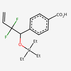 C=CC(F)(F)C(O[Si](CC)(CC)CC)c1ccc(C(=O)O)cc1